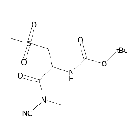 CN(C#N)C(=O)C(CS(C)(=O)=O)NC(=O)OC(C)(C)C